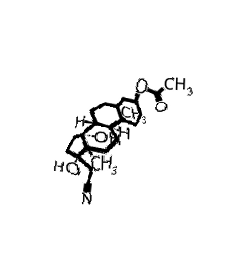 CC(=O)OC1CC[C@@]2(C)C(CC[C@@H]3[C@@H]2CC[C@]2(C)[C@@](O)(CC#N)CC[C@@]32O)C1